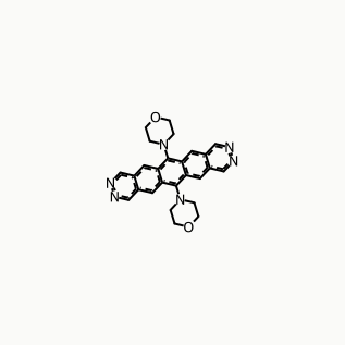 c1nncc2cc3c(N4CCOCC4)c4cc5cnncc5cc4c(N4CCOCC4)c3cc12